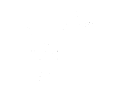 CCCCCC(O)(CS[C@H]1C(O)CC(=O)[C@@H]1CC=CCCCC(=O)OC)c1ccc(F)cc1